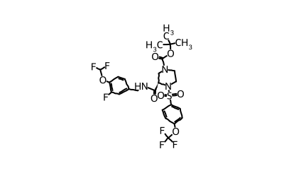 CC(C)(C)OC(=O)N1CCN(S(=O)(=O)c2ccc(OC(F)(F)F)cc2)[C@@H](C(=O)NCc2ccc(OC(F)F)c(F)c2)C1